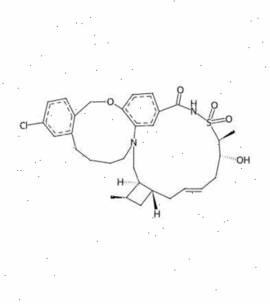 C[C@@H]1C[C@H]2C/C=C/C[C@@H](O)[C@H](C)S(=O)(=O)NC(=O)c3ccc4c(c3)N(CCCCc3cc(Cl)ccc3CO4)C[C@@H]21